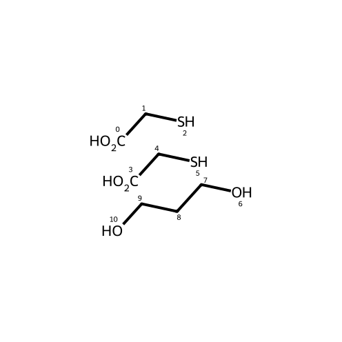 O=C(O)CS.O=C(O)CS.OCCCO